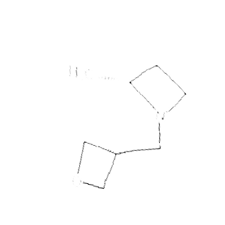 C[C@@H]1CCN1CC1COC1